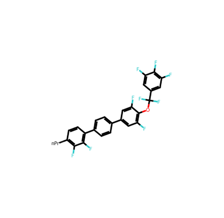 CCCc1ccc(-c2ccc(-c3cc(F)c(OC(F)(F)c4cc(F)c(F)c(F)c4)c(F)c3)cc2)c(F)c1F